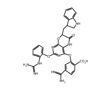 N=C(N)Nc1ccccc1Oc1nc(Oc2cc(C(=N)N)ccc2C(=O)O)c2c(n1)OC(CC1CNc3ccccc31)C(=O)N2